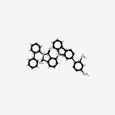 Cc1ccc(-c2ccc3c4ccccc4n(-c4cccc5c4C(=O)N(c4ccccc4-c4ccccc4)C5=O)c3c2)c(C)c1